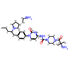 CCCC(Cc1ccc(-n2ccc(NC(=O)N3CCN(C(=O)C(C)(C)N)CC3)nc2=O)cc1)N1CC[C@H](CCN)C1